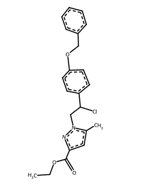 CCOC(=O)c1cc(C)n(CC(Cl)c2ccc(OCc3ccccc3)cc2)n1